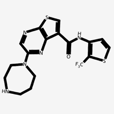 O=C(Nc1ccsc1C(F)(F)F)c1csc2ncc(N3CCCNCC3)nc12